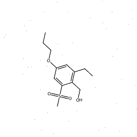 CCCOc1cc(CC)c(CO)c(S(C)(=O)=O)c1